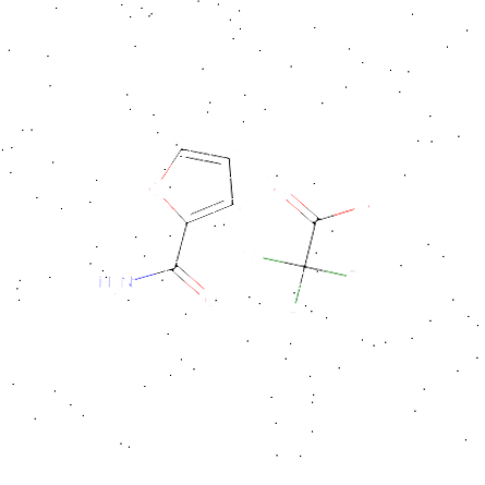 NC(=O)c1ccco1.O=C(O)C(F)(F)F